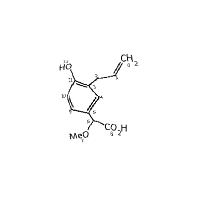 C=CCc1cc(C(OC)C(=O)O)ccc1O